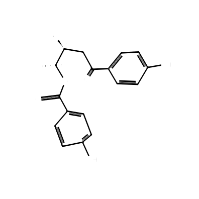 Cc1ccc(C(=O)C[C@H](C(=O)O)[C@H](OC(=O)c2ccc(C)cc2)C(=O)O)cc1